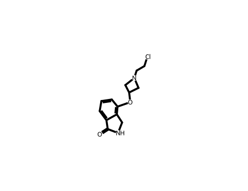 O=C1NCc2c(OC3CN(CCCl)C3)cccc21